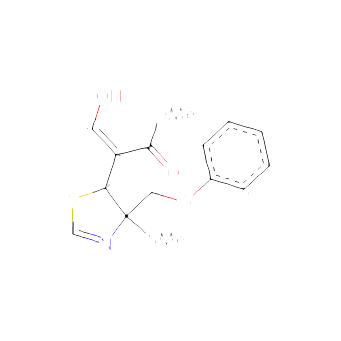 COC(=O)/C(=C\O)C1SC=NC1(COc1ccccc1)SC